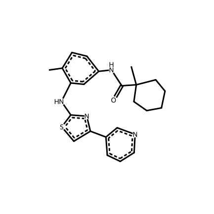 Cc1ccc(NC(=O)C2(C)CCCCC2)cc1Nc1nc(-c2cccnc2)cs1